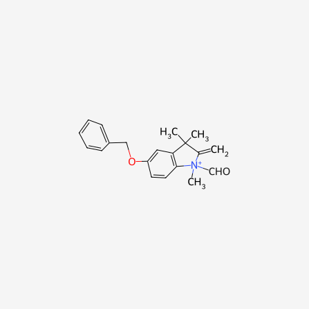 C=C1C(C)(C)c2cc(OCc3ccccc3)ccc2[N+]1(C)C=O